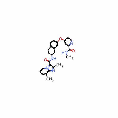 CNC(=O)c1cc(Oc2ccc3c(c2)CC(NC(=O)c2c(C)nc4c(C)cccn24)CC3)ccn1